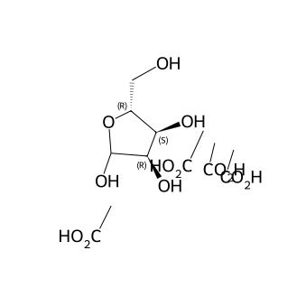 CC(=O)O.CC(=O)O.CC(=O)O.CC(=O)O.OC[C@H]1OC(O)[C@H](O)[C@@H]1O